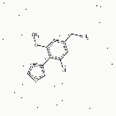 COc1cc(CN)cc(Cl)c1-c1cnco1